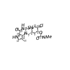 CNC(=O)Oc1cc(CN2c3c(C)c[nH]c3C(=O)NC2S)ccc1Cl